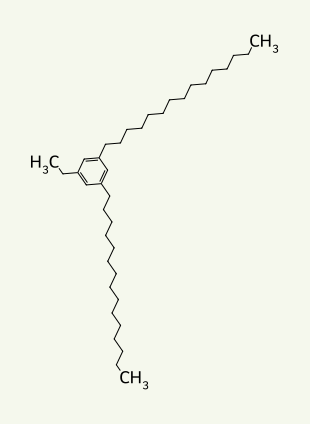 CCCCCCCCCCCCCCCc1cc(CC)cc(CCCCCCCCCCCCCCC)c1